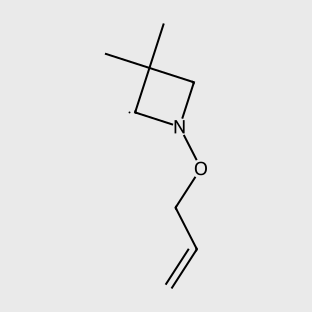 C=CCON1[CH]C(C)(C)C1